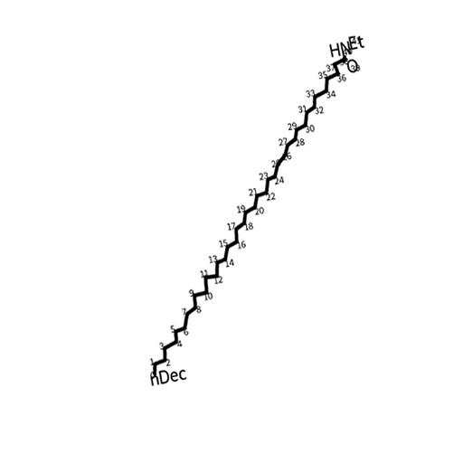 CCCCCCCCCCCCCCCCCCCCCCCCCCCCCCCCCCCCCCCCCCCCCCCC(=O)NCC